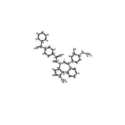 COc1ccc(C2=NC(NC(=O)c3ccc(C(=O)c4ccccc4)cc3)c3nnc(C)n3-c3ccccc32)cc1I